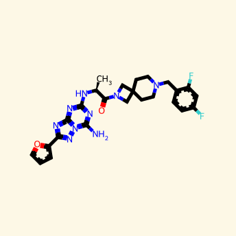 C[C@H](Nc1nc(N)n2nc(-c3ccco3)nc2n1)C(=O)N1CC2(CCN(Cc3ccc(F)cc3F)CC2)C1